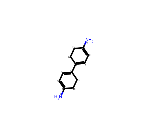 NC1=CC=C(C2=CC=C(N)CC2)CC1